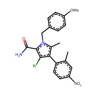 COc1ccc(Cn2c(C)c(-c3ccc([N+](=O)[O-])cc3C)c(Br)c2C(N)=O)cc1